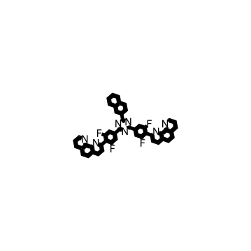 Fc1cc(-c2nc(-c3cc(F)c(-c4ccc5ccc6cccnc6c5n4)c(F)c3)nc(-c3ccc4ccccc4c3)n2)cc(F)c1-c1ccc2ccc3cccnc3c2n1